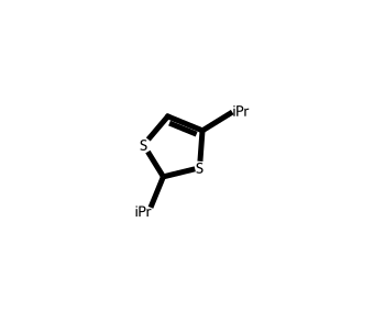 CC(C)C1=CSC(C(C)C)S1